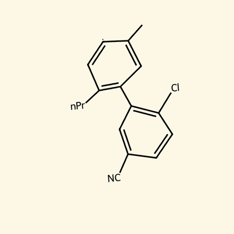 CCCc1c[c]c(C)cc1-c1cc(C#N)ccc1Cl